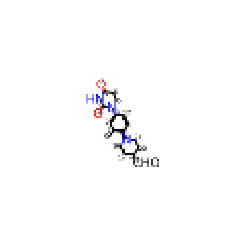 Cc1cc(N2CCC(=O)NC2=O)ccc1N1CCC(C=O)CC1